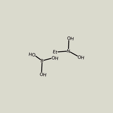 CCN(O)O.OB(O)O